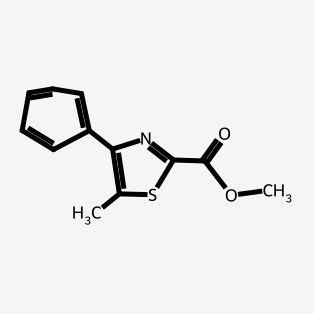 COC(=O)c1nc(-c2ccccc2)c(C)s1